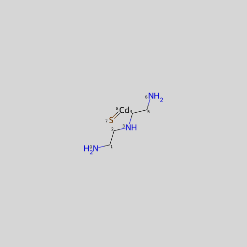 NCCNCCN.[S]=[Cd]